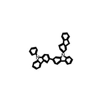 c1ccc(-n2c3ccccc3c3cc(-c4ccc5c6ccccc6n(-c6ccc7c(c6)Cc6ccccc6-7)c5c4)ccc32)cc1